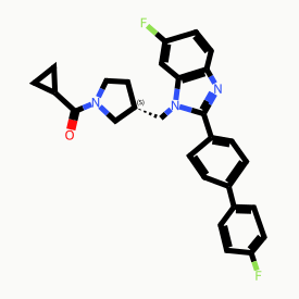 O=C(C1CC1)N1CC[C@H](Cn2c(-c3ccc(-c4ccc(F)cc4)cc3)nc3ccc(F)cc32)C1